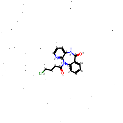 O=C1Nc2cccnc2N(C(=O)CCCCl)c2ccccc21